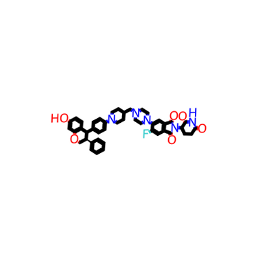 O=C1CCC(N2C(=O)c3cc(F)c(N4CCN(CC5CCN(c6ccc(C7c8ccc(O)cc8OC[C@@H]7c7ccccc7)cc6)CC5)CC4)cc3C2=O)C(=O)N1